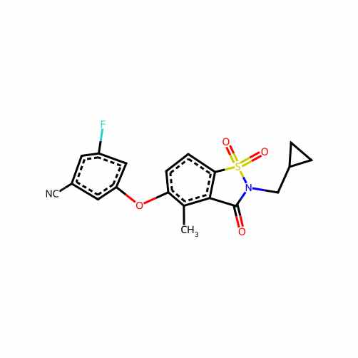 Cc1c(Oc2cc(F)cc(C#N)c2)ccc2c1C(=O)N(CC1CC1)S2(=O)=O